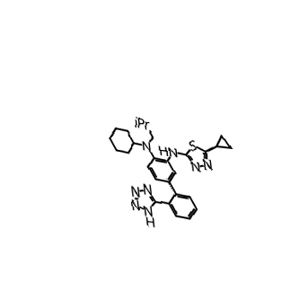 CC(C)CN(c1ccc(-c2ccccc2-c2nnn[nH]2)cc1Nc1nnc(C2CC2)s1)C1CCCCC1